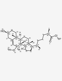 [2H]OC(=O)[C@H](C)CCC[C@@H](C)[C@H]1CC[C@H]2[C@H]3[C@H](CC[C@]12C)[C@@]1(C)CC[C@H](O)CC1=C[C@]3([2H])O[2H]